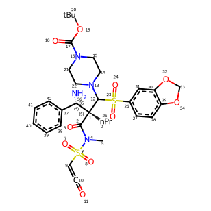 CCC[C@](C(=O)N(C)S(=O)(=O)C=C=O)(C(N1CCN(C(=O)OC(C)(C)C)CC1)S(=O)(=O)c1ccc2c(c1)OCO2)[C@@H](N)c1ccccc1